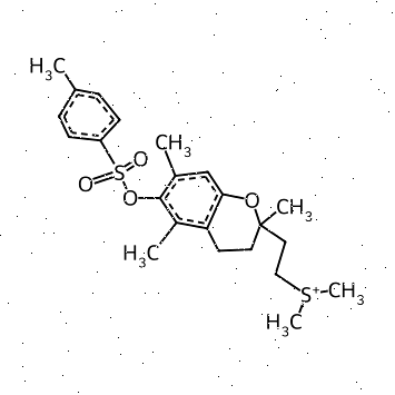 Cc1ccc(S(=O)(=O)Oc2c(C)cc3c(c2C)CCC(C)(CC[S+](C)C)O3)cc1